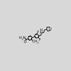 Cc1cc(C(N)=O)ccc1-c1cc(F)c(CNCCC2CCOCC2)c(F)c1